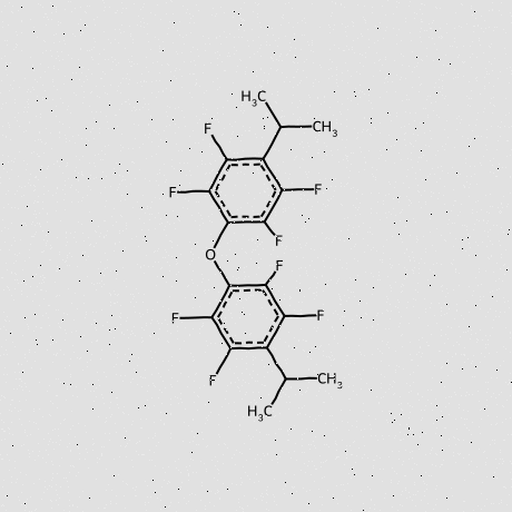 CC(C)c1c(F)c(F)c(Oc2c(F)c(F)c(C(C)C)c(F)c2F)c(F)c1F